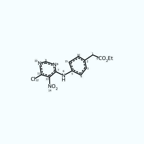 CCOC(=O)Cc1ccc(Nc2ncnc(Cl)c2[N+](=O)[O-])cc1